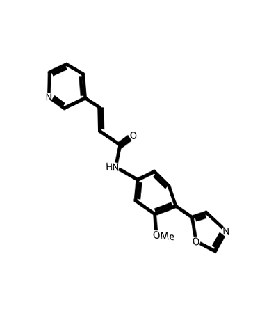 COc1cc(NC(=O)/C=C/c2cccnc2)ccc1-c1cnco1